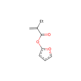 C=C(CC)C(=O)Oc1ccco1